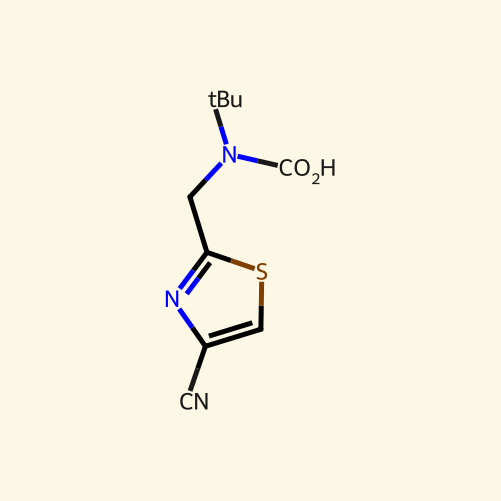 CC(C)(C)N(Cc1nc(C#N)cs1)C(=O)O